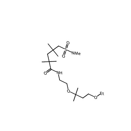 CCOCCC(C)(C)OCCNC(=O)C(C)(C)CC(C)(C)CS(=O)(=O)NC